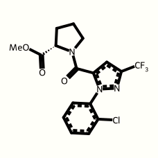 COC(=O)[C@@H]1CCCN1C(=O)c1cc(C(F)(F)F)nn1-c1ccccc1Cl